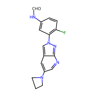 O=CNc1ccc(F)c(-n2cc3cc(N4CCC4)cnc3n2)c1